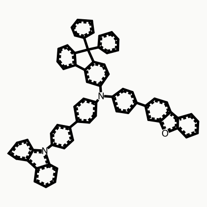 c1ccc(C2(c3ccccc3)c3ccccc3-c3cc(N(c4ccc(-c5ccc(-n6c7ccccc7c7ccccc76)cc5)cc4)c4ccc(-c5ccc6c(c5)oc5ccccc56)cc4)ccc32)cc1